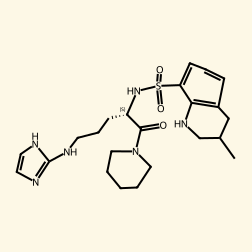 CC1CNc2c(cccc2S(=O)(=O)N[C@@H](CCCNc2ncc[nH]2)C(=O)N2CCCCC2)C1